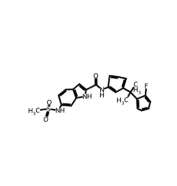 CC(C)(c1cccc(NC(=O)c2cc3ccc(NS(C)(=O)=O)cc3[nH]2)c1)c1ccccc1F